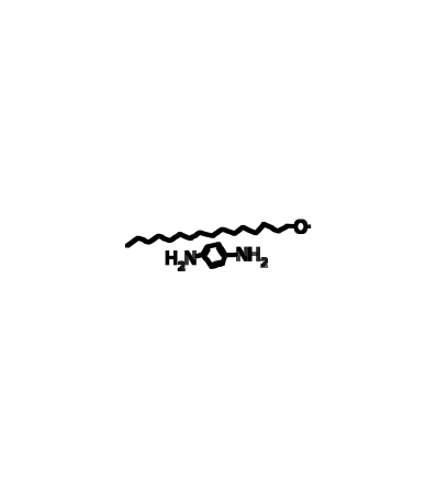 CCCCCCCCCCCCCCCC[O].Nc1ccc(N)cc1